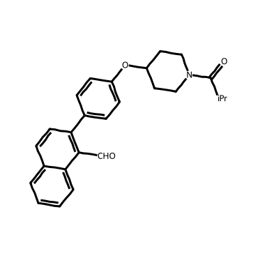 CC(C)C(=O)N1CCC(Oc2ccc(-c3ccc4ccccc4c3C=O)cc2)CC1